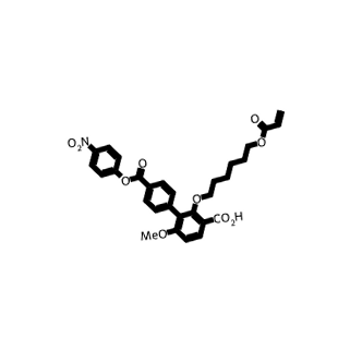 C=CC(=O)OCCCCCCOc1c(C(=O)O)ccc(OC)c1-c1ccc(C(=O)Oc2ccc([N+](=O)[O-])cc2)cc1